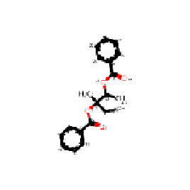 CC(C)CC(C)(OC(=O)c1ccccc1)C(C)OC(=O)c1ccccc1